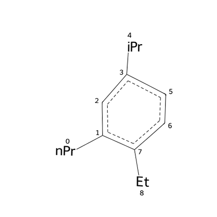 CCCc1cc(C(C)C)ccc1CC